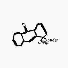 COC1(OC)C=CC=C2C(=O)c3ccccc3C=C21